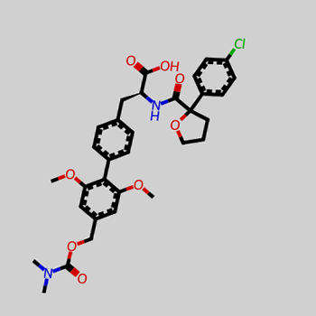 COc1cc(COC(=O)N(C)C)cc(OC)c1-c1ccc(C[C@H](NC(=O)C2(c3ccc(Cl)cc3)CCCO2)C(=O)O)cc1